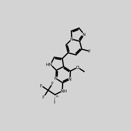 COc1nc(N[C@H](C)C(F)(F)F)nc2[nH]cc(-c3cc(F)c4nccn4c3)c12